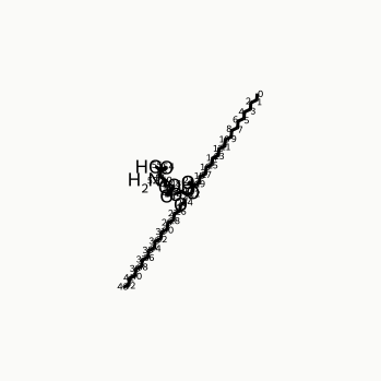 CCCCCCCCCCCCCCCCCCCCC(=O)O[C@H](COCCCCCCCCCCCCCCCCCC)COP(=O)(O)OC[C@H](N)C(=O)O